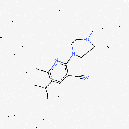 Cc1nc(N2CCN(C)CC2)c(C#N)cc1C(C)C